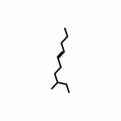 CCC/C=C/CCC(C)CC